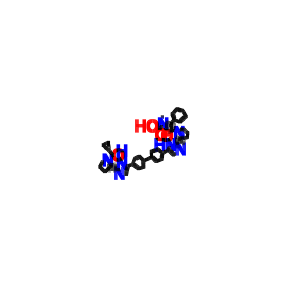 CN(C(=O)O)[C@@H](C(=O)N1CCC[C@H]1c1ncc(-c2ccc(-c3ccc(-c4cnc([C@@H]5CCCN5C(=O)C5CC5)[nH]4)cc3)cc2)[nH]1)c1ccccc1